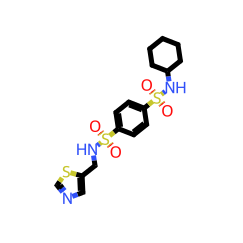 O=S(=O)(NCc1cncs1)c1ccc(S(=O)(=O)NC2CCCCC2)cc1